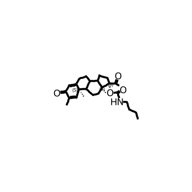 CCCCNC(=O)O[C@@]1(C(C)=O)CCC2C3CCC4=CC(=O)C(C)=C[C@]4(C)C3CC[C@@]21C